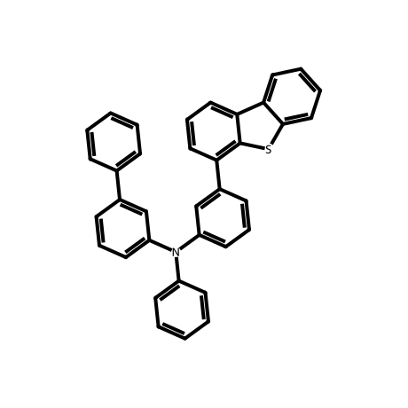 c1ccc(-c2cccc(N(c3ccccc3)c3cccc(-c4cccc5c4sc4ccccc45)c3)c2)cc1